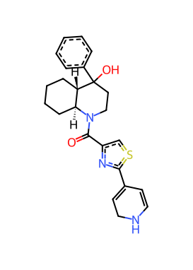 O=C(c1csc(C2=CCNC=C2)n1)N1CCC(O)(c2ccccc2)[C@H]2CCCC[C@@H]21